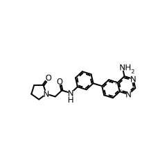 Nc1ncnc2ccc(-c3cccc(NC(=O)CN4CCCC4=O)c3)cc12